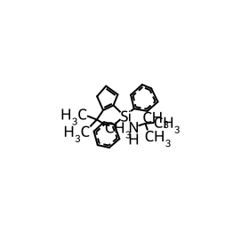 CC(C)(C)N[Si](C1=C(C(C)(C)C)CC=C1)(c1ccccc1)c1ccccc1